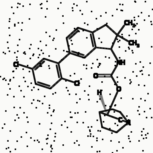 CC1(C)Cc2ccc(-c3cc(Cl)ccc3Cl)cc2C1NC(=O)O[C@H]1CN2CCC1CC2